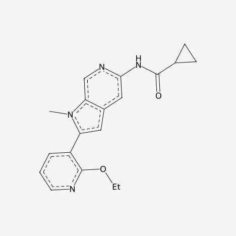 CCOc1ncccc1-c1cc2cc(NC(=O)C3CC3)ncc2n1C